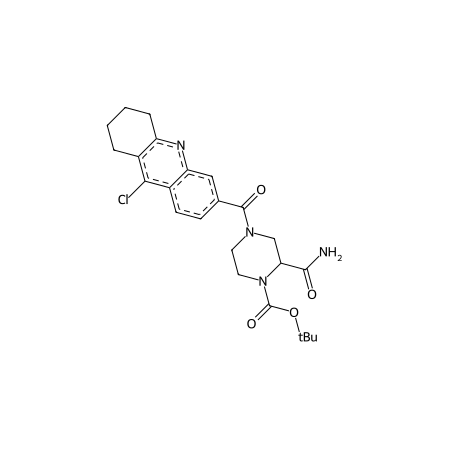 CC(C)(C)OC(=O)N1CCN(C(=O)c2ccc3c(Cl)c4c(nc3c2)CCCC4)CC1C(N)=O